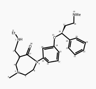 CCNCC1CN(C)CCN(c2cccc(O[C@@H](CCNC)c3ccccc3)c2)C1=O